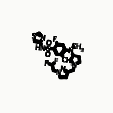 Cc1cc(S(=O)(=O)Nc2cscn2)c(F)cc1N(C)C1CCN(Cc2ccn(CC(F)F)n2)C1